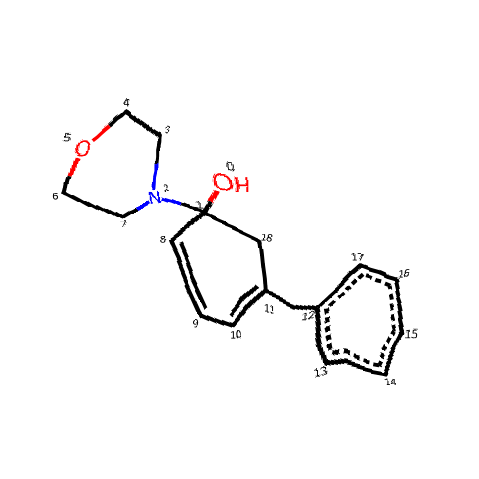 OC1(N2CCOCC2)C=CC=C(c2ccccc2)C1